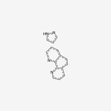 c1cn[nH]c1.c1cnc2c(c1)ccc1cccnc12